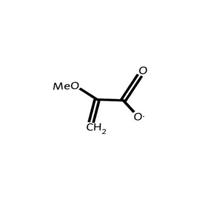 C=C(OC)C([O])=O